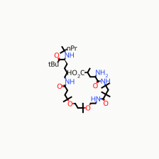 CCCC(C)(C)N[C@@H](CCCCNC(=O)CCC(C)(C)OCCC(C)(C)OCCNC(=O)C(C)(C)CC(C)(C)NC(=O)C(N)CC(C)C(=O)O)C(=O)C(C)(C)C